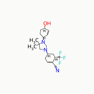 CC1(C)CN([C@@H]2CC=C(C#N)[C@H](C(F)(F)F)C2)CN1[C@@H]1C=C[C@H](O)CC1